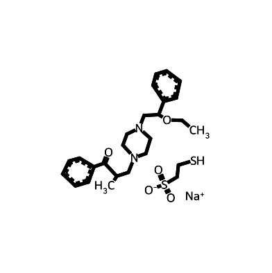 CCOC(CN1CCN(CC(C)C(=O)c2ccccc2)CC1)c1ccccc1.O=S(=O)([O-])CCS.[Na+]